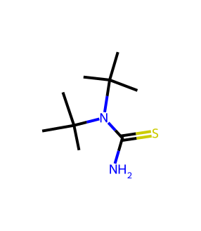 CC(C)(C)N(C(N)=S)C(C)(C)C